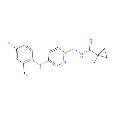 CC1(C(=O)NCc2ccc(Nc3ccc(F)cc3C(F)(F)F)cn2)CC1